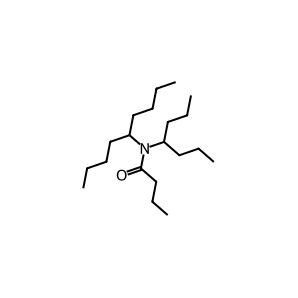 CCCCC(CCCC)N(C(=O)CCC)C(CCC)CCC